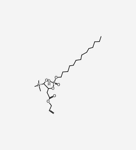 C=CCOC(=O)CC(OP(=O)(O)OCCCCCCCCCCCCCC)C([O-])[N+](C)(C)C